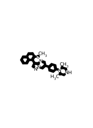 COc1ccc2ccccc2c1-c1cnn2cc(-c3ccc(N4C(C)CNCC4C)cc3)cnc12